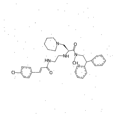 CN(CC(c1ccccc1)c1ccccc1)C(=O)[C@H](CN1CCCCC1)NCCNC(=O)/C=C/c1ccc(Cl)cc1